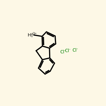 [Cl-].[Cl-].[Cl-].[Hf+3][c]1cccc2c1Cc1ccccc1-2